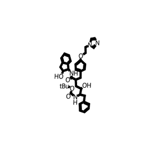 CC(C)(C)OC(=O)NC(Cc1ccccc1)C(O)CC(Cc1ccc(OCCn2ccnc2)cc1)C(=O)NC1c2ccccc2CC1O